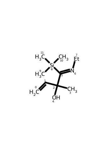 C=CC(C)(O)C(=NCC)[Si](C)(C)C